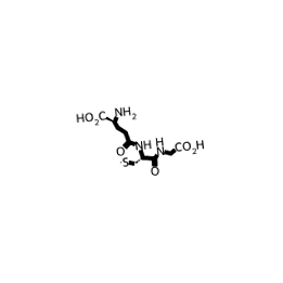 N[C@@H](CCC(=O)N[C@@H](C[S])C(=O)NCC(=O)O)C(=O)O